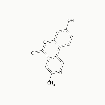 Cc1cc2c(=O)oc3cc(O)ccc3c2cn1